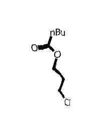 CCCCC(=O)OCCCCl